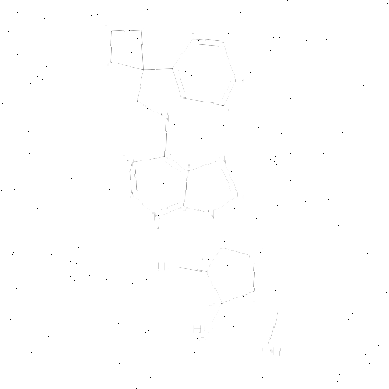 OC[C@H]1O[C@@H](n2cnc3c(NCC4(c5ccccc5)CCC4)ncnc32)C(O)C1O